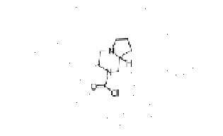 O=C(Cl)N1CCN2CCC[C@@H]2C1